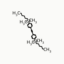 CCCCCC[Si](C)(C)c1ccc(C#Cc2ccc([Si](C)(C)CCCCCC)cc2)cc1